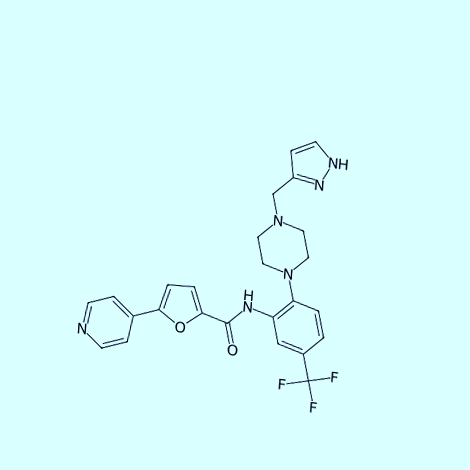 O=C(Nc1cc(C(F)(F)F)ccc1N1CCN(Cc2cc[nH]n2)CC1)c1ccc(-c2ccncc2)o1